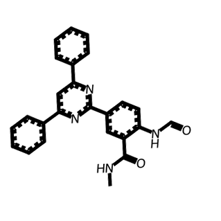 CNC(=O)c1cc(-c2nc(-c3ccccc3)cc(-c3ccccc3)n2)ccc1NC=O